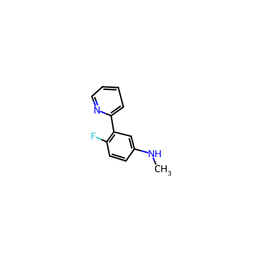 CNc1ccc(F)c(-c2ccccn2)c1